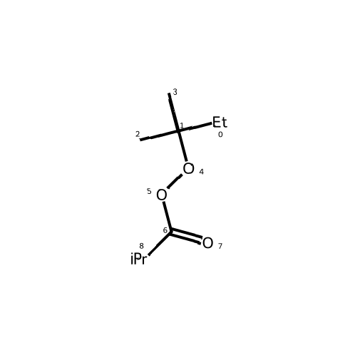 CCC(C)(C)OOC(=O)C(C)C